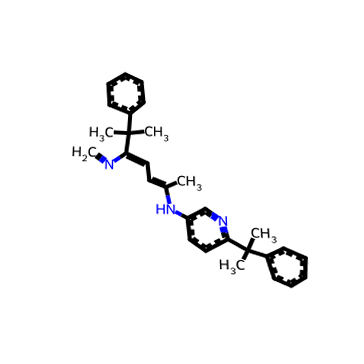 C=N/C(=C\C=C(/C)Nc1ccc(C(C)(C)c2ccccc2)nc1)C(C)(C)c1ccccc1